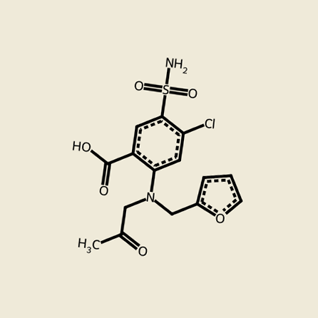 CC(=O)CN(Cc1ccco1)c1cc(Cl)c(S(N)(=O)=O)cc1C(=O)O